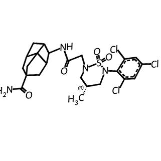 C[C@@H]1CN(CC(=O)NC2C3CC4CC2CC(C(N)=O)(C4)C3)S(=O)(=O)N(c2c(Cl)cc(Cl)cc2Cl)C1